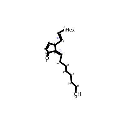 CCCCCC/C=C/C1C=CC(=O)/C1=C\CCCCCCO